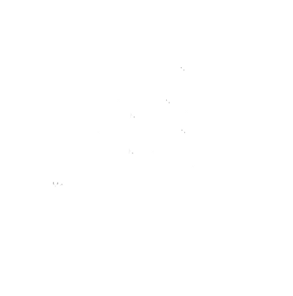 COCCCn1c(=O)c2c(nc(-c3ccccc3C#N)n2Cc2ccc(C)cc2)n(C)c1=O